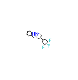 Fc1cc(C2=CCNC(Cc3ccccc3)C2)cc(F)c1F